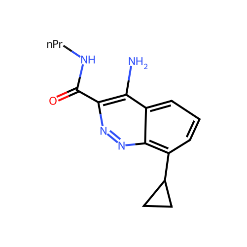 CCCNC(=O)c1nnc2c(C3CC3)cccc2c1N